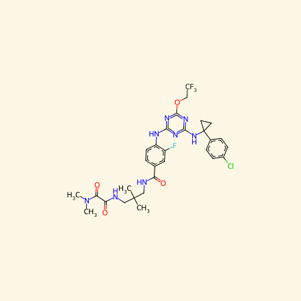 CN(C)C(=O)C(=O)NCC(C)(C)CNC(=O)c1ccc(Nc2nc(NC3(c4ccc(Cl)cc4)CC3)nc(OCC(F)(F)F)n2)c(F)c1